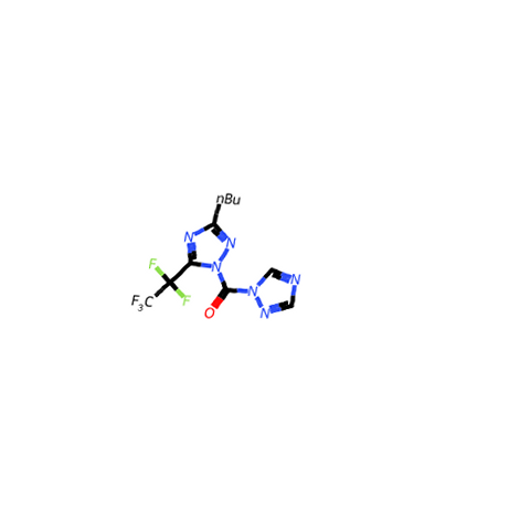 CCCCc1nc(C(F)(F)C(F)(F)F)n(C(=O)n2cncn2)n1